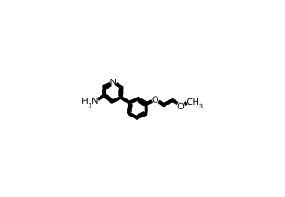 COCCOc1cccc(-c2cncc(N)c2)c1